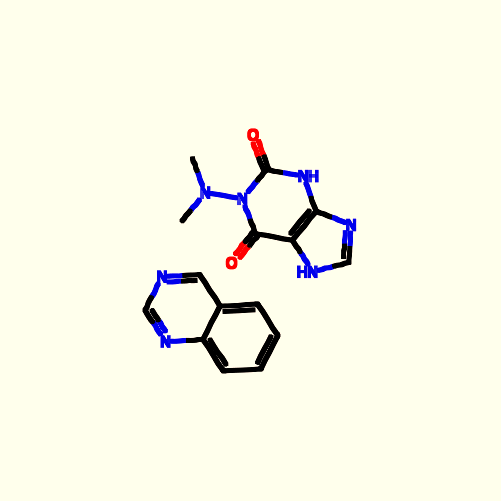 CN(C)n1c(=O)[nH]c2nc[nH]c2c1=O.c1ccc2ncncc2c1